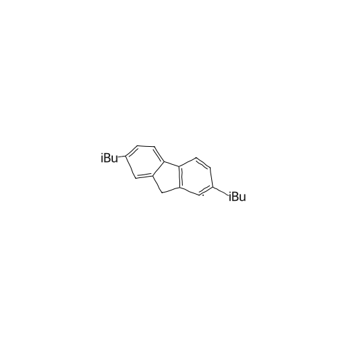 CCC(C)c1[c]c2c(cc1)-c1ccc(C(C)CC)cc1C2